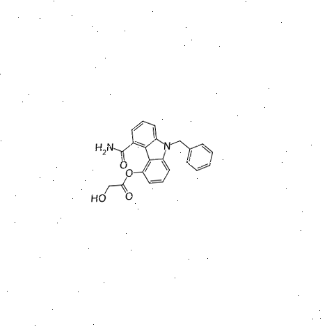 NC(=O)c1cccc2c1c1c(OC(=O)CO)cccc1n2Cc1ccccc1